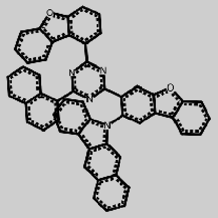 c1ccc2cc3c(cc2c1)c1ccccc1n3-c1cc2c(cc1-c1nc(-c3cccc4ccccc34)nc(-c3cccc4oc5ccccc5c34)n1)oc1ccccc12